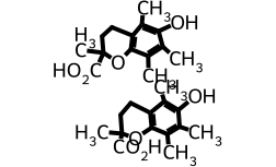 Cc1c(C)c2c(c(C)c1O)CCC(C)(C(=O)O)O2.Cc1c(C)c2c(c(C)c1O)CCC(C)(C(=O)O)O2